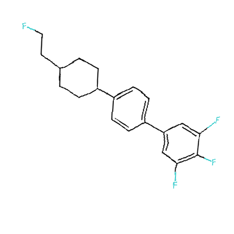 FCCC1CCC(c2ccc(-c3cc(F)c(F)c(F)c3)cc2)CC1